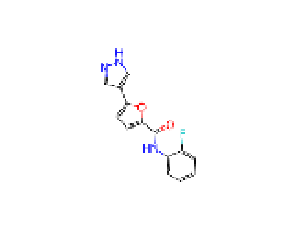 O=C(Nc1ccccc1F)c1ccc(-c2cn[nH]c2)o1